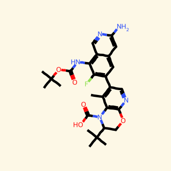 Cc1c(-c2cc3cc(N)ncc3c(NC(=O)OC(C)(C)C)c2F)cnc2c1N(C(=O)O)C(C(C)(C)C)CO2